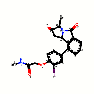 CCCNC(=O)COc1ccc(-c2cccc3c2C2CC(=O)C(C(C)C)N2C3=O)cc1I